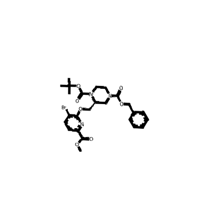 COC(=O)c1ccc(Br)c(OC[C@@H]2CN(C(=O)OCc3ccccc3)CCN2C(=O)OC(C)(C)C)n1